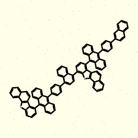 c1ccc2cc(-c3ccc(-c4c5ccccc5c(-c5ccc(-c6ccc(-c7ccc(-c8c9ccccc9c(-c9cccc%10sc%11c%12ccccc%12ccc%11c9%10)c9ccccc89)cc7)c7ccccc67)c6sc7c8ccccc8ccc7c56)c5ccccc45)cc3)ccc2c1